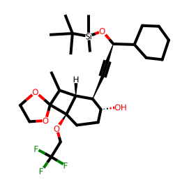 CC1[C@@H]2[C@@H](C#C[C@@H](O[Si](C)(C)C(C)(C)C)C3CCCCC3)[C@H](O)CC[C@]2(OCC(F)(F)F)C12OCCO2